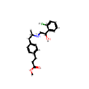 COC(=O)CCc1ccc(CC(C)NCC(O)c2ccccc2F)cc1